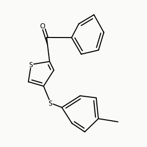 Cc1ccc(Sc2csc(C(=O)c3ccccc3)c2)cc1